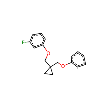 Fc1cccc(OCC2(COc3[c]cccc3)CC2)c1